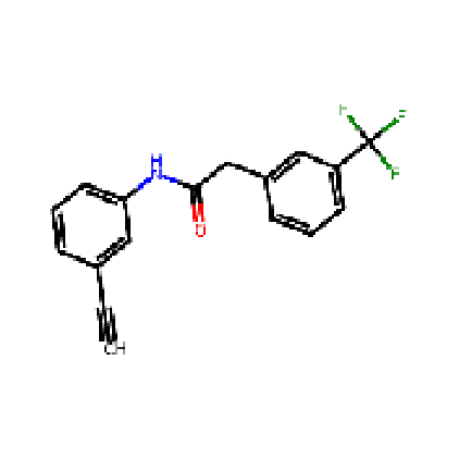 C#Cc1cccc(NC(=O)Cc2cccc(C(F)(F)F)c2)c1